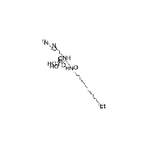 CCC=CCC=CCC=CCC=CCC=CCC=CCCC(=O)NCCCC(NC(=O)CC=Cc1ccc(CCN2CCCC2)nc1)C(=O)OC(CO)CO